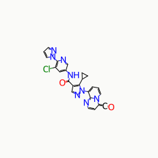 O=C=C1C=CN=C2C(n3ncc(C(=O)Nc4cnc(-n5cccn5)c(Cl)c4)c3C3CC3)=CC=CN12